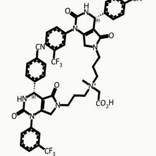 C[N+](CCCN1CC2=C(C1=O)[C@@H](c1ccc(C#N)cc1)NC(=O)N2c1cccc(C(F)(F)F)c1)(CCCN1CC2=C(C1=O)[C@@H](c1ccc(C#N)cc1)NC(=O)N2c1cccc(C(F)(F)F)c1)CC(=O)O